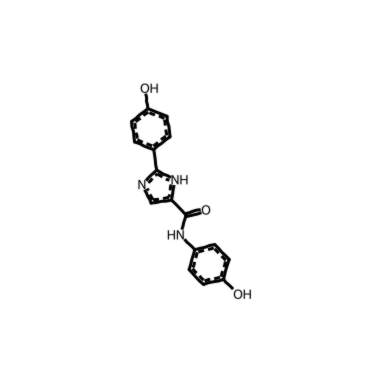 O=C(Nc1ccc(O)cc1)c1cnc(-c2ccc(O)cc2)[nH]1